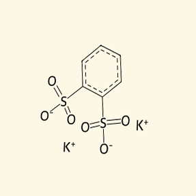 O=S(=O)([O-])c1ccccc1S(=O)(=O)[O-].[K+].[K+]